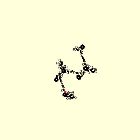 O=C(O)CN(Cc1ccccc1)C(=O)CCSSCCCOC(=O)Nc1ccc(OC(=O)CN(Cc2ccccc2)C(=O)OCCSSCCOC(=O)Nc2ccc(OC(=O)CN(Cc3ccccc3)C(=O)CCCSSCCOC(=O)Nc3cccc4c3C(=O)N(C3CCC(=O)NC3=O)C4O)c3c2C(=O)N(C2CCC(=O)NC2=O)C3=O)c2c1C(=O)N(C1CCC(=O)NC1=O)C2=O